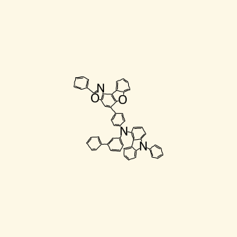 c1ccc(-c2cccc(N(c3ccc(-c4cc5oc(-c6ccccc6)nc5c5c4oc4ccccc45)cc3)c3cccc4c3c3ccccc3n4-c3ccccc3)c2)cc1